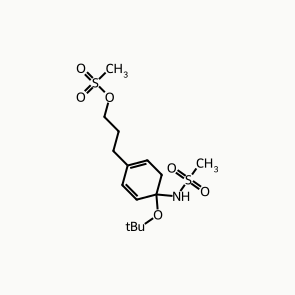 CC(C)(C)OC1(NS(C)(=O)=O)C=CC(CCCOS(C)(=O)=O)=CC1